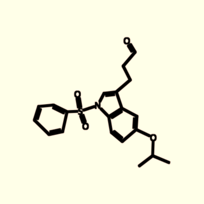 CC(C)Oc1ccc2c(c1)c(CCC=O)cn2S(=O)(=O)c1ccccc1